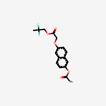 CCC(C)C(=O)Oc1ccc2cc(OCC(=O)OCC(C)(F)F)ccc2c1